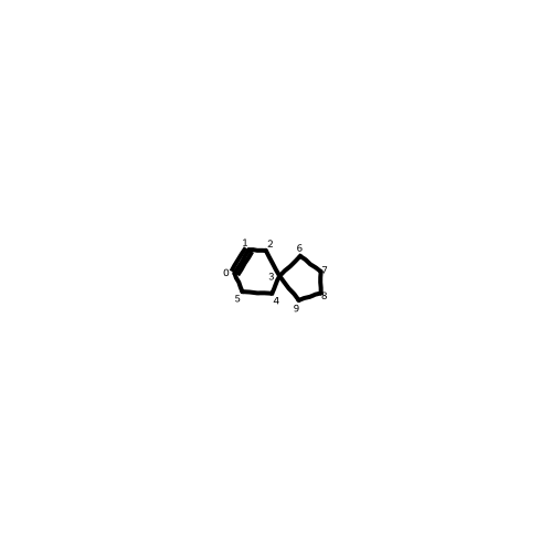 C1#CCC2(CC1)CCCC2